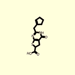 O=C(O)C1Cc2c(nc(CC3=CCCC3)[nH]c2=O)S1